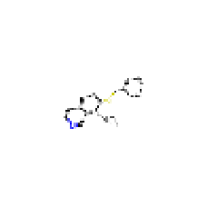 O=[N+]([O-])c1c(SCc2ccccc2)ccc2ccncc12